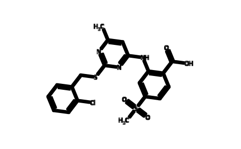 Cc1cc(Nc2cc(S(C)(=O)=O)ccc2C(=O)O)nc(SCc2ccccc2Cl)n1